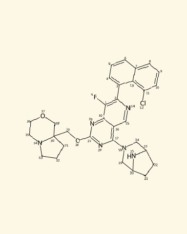 Fc1c(-c2cccc3cccc(Cl)c23)ncc2c(N3CC4CCC(C3)N4)nc(OCC34CCCN3CCOC4)nc12